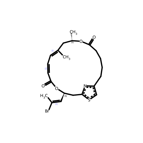 C/C(Br)=C\[C@@H]1Cc2nc(cs2)CCCCC(=O)O[C@@H](C)C/C(C)=C/C=C\C(=O)O1